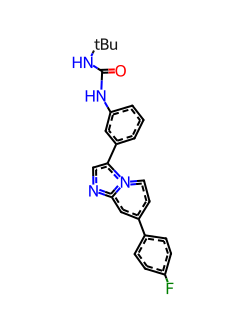 CC(C)(C)NC(=O)Nc1cccc(-c2cnc3cc(-c4ccc(F)cc4)ccn23)c1